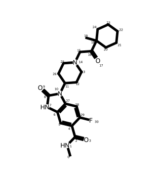 CNC(=O)c1cc2[nH]c(=O)n(C3CCN(CC(=O)C4(C)CCCCC4)CC3)c2cc1F